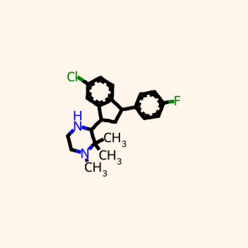 CN1CCNC(C2CC(c3ccc(F)cc3)c3ccc(Cl)cc32)C1(C)C